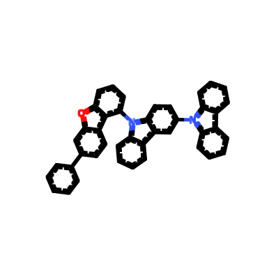 c1ccc(-c2ccc3c(c2)oc2cccc(-n4c5ccccc5c5cc(-n6c7ccccc7c7ccccc76)ccc54)c23)cc1